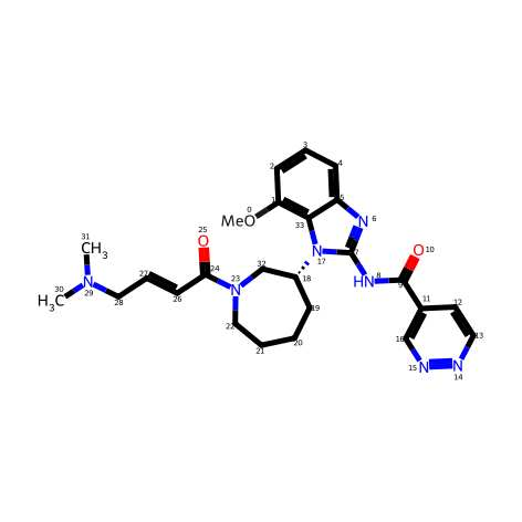 COc1cccc2nc(NC(=O)c3ccnnc3)n([C@@H]3CCCCN(C(=O)/C=C/CN(C)C)C3)c12